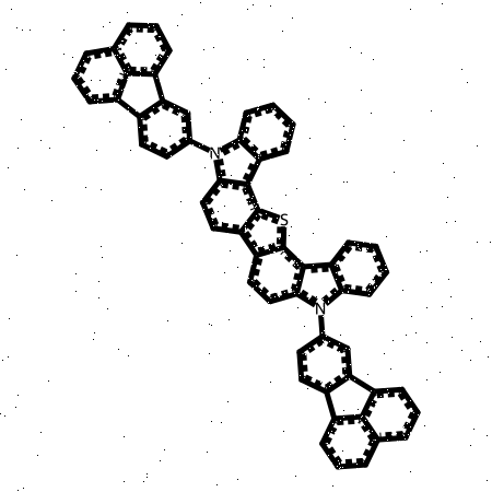 c1cc2c3c(cccc3c1)-c1cc(-n3c4ccccc4c4c5sc6c(ccc7c6c6ccccc6n7-c6ccc7c(c6)-c6cccc8cccc-7c68)c5ccc43)ccc1-2